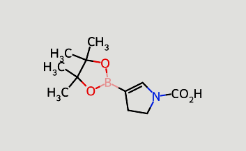 CC1(C)OB(C2=CN(C(=O)O)CC2)OC1(C)C